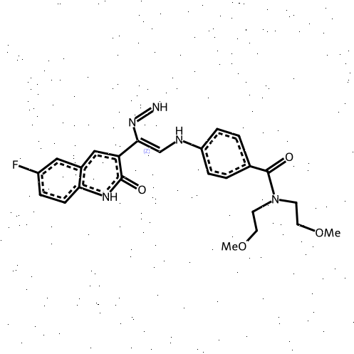 COCCN(CCOC)C(=O)c1ccc(N/C=C(\N=N)c2cc3cc(F)ccc3[nH]c2=O)cc1